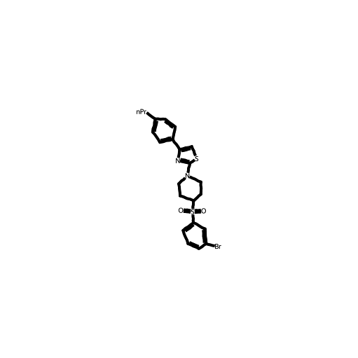 CCCc1ccc(-c2csc(N3CCC(S(=O)(=O)c4cccc(Br)c4)CC3)n2)cc1